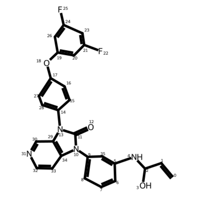 C=CC(O)Nc1cccc(-n2c(=O)n(-c3ccc(Oc4cc(F)cc(F)c4)cc3)c3cnccc32)c1